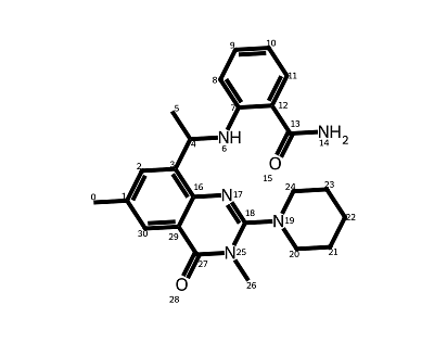 Cc1cc(C(C)Nc2ccccc2C(N)=O)c2nc(N3CCCCC3)n(C)c(=O)c2c1